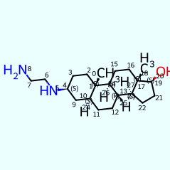 C[C@]12CC[C@H](NCCN)C[C@@H]1CC[C@@H]1[C@@H]2CC[C@]2(C)[C@@H](O)CC[C@@H]12